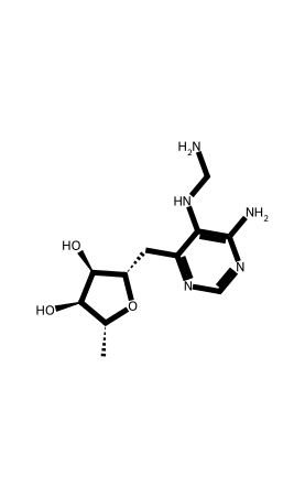 C[C@H]1O[C@@H](Cc2ncnc(N)c2NCN)[C@H](O)[C@@H]1O